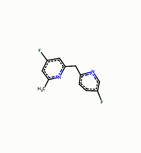 Cc1cc(F)cc(Cc2ccc(F)cn2)n1